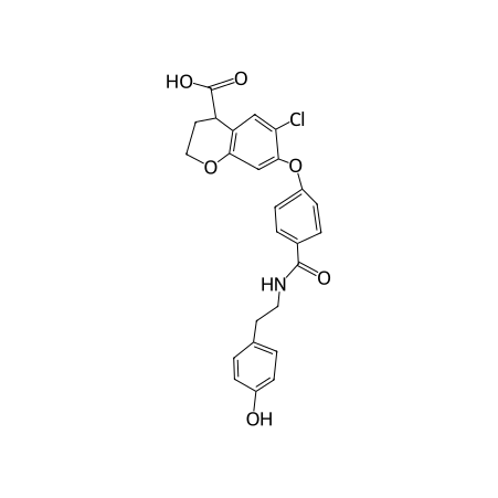 O=C(NCCc1ccc(O)cc1)c1ccc(Oc2cc3c(cc2Cl)C(C(=O)O)CCO3)cc1